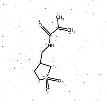 C=C(C)C(=O)NCC1CCS(=O)(=O)C1